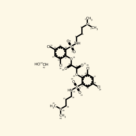 CN(C)CCCNS(=O)(=O)c1cc(Cl)cc(Cl)c1OC(=O)C(=O)Oc1c(Cl)cc(Cl)cc1S(=O)(=O)NCCCN(C)C.Cl.Cl